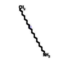 C=CCCCCCC/C=C/CCCCCCCCCCCN